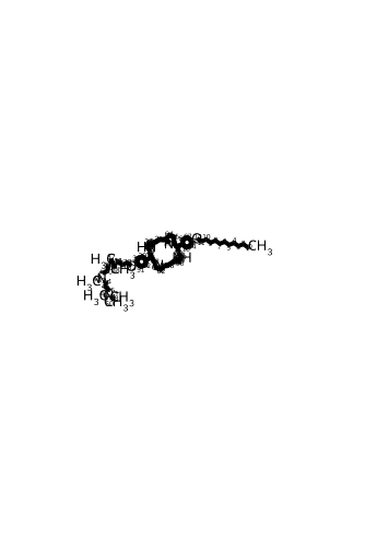 CCCCCCCCCCCCOc1ccc(-c2c3nc(cc4ccc([nH]4)c(-c4ccc(OCCC[N+](C)(C)CCCN(C)CCC[N+](C)(C)C)cc4)c4nc(cc5ccc2[nH]5)C=C4)C=C3)cc1